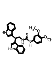 COc1ccc(NC(=S)NCC(c2c[nH]c3ccccc23)c2c[nH]c3ccccc23)cc1OC